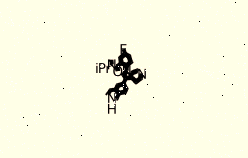 CC(C)N(C)C(=O)c1cc(F)ccc1-n1cc(-c2ccc3c(c2)CCNC3)c2ccncc21